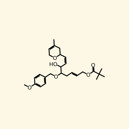 COc1ccc(COC(C/C=C/COC(=O)C(C)(C)C)C(O)/C=C\C2CC(C)=CCO2)cc1